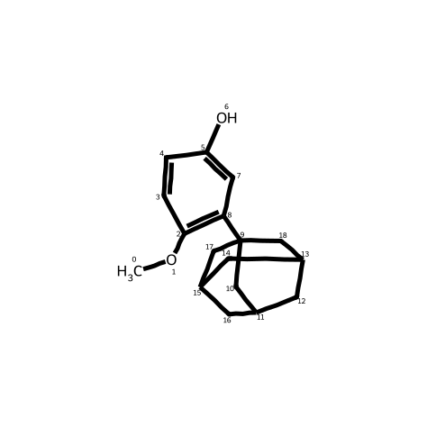 COc1ccc(O)cc1C12CC3CC(CC(C3)C1)C2